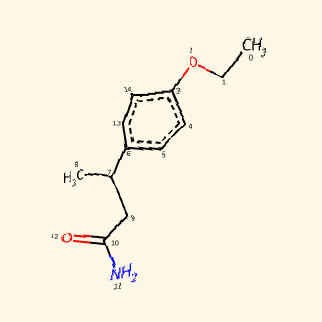 CCOc1ccc(C(C)CC(N)=O)cc1